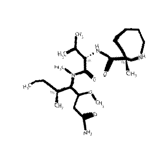 CC[C@H](C)C(C(CC(N)=O)OC)N(C)C(=O)[C@@H](NC(=O)[C@]1(C)CCCCN1)C(C)C